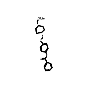 COC[C@H]1CC[C@H](COc2ccc(OC(=O)c3ccccc3)cc2)CC1